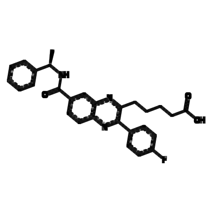 C[C@@H](NC(=O)c1ccc2nc(-c3ccc(F)cc3)c(CCCCC(=O)O)nc2c1)c1ccccc1